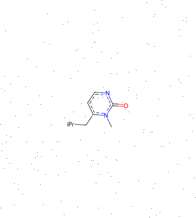 CC(C)Cc1ccnc(=O)n1C